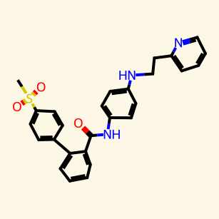 CS(=O)(=O)c1ccc(-c2ccccc2C(=O)Nc2ccc(NCCc3ccccn3)cc2)cc1